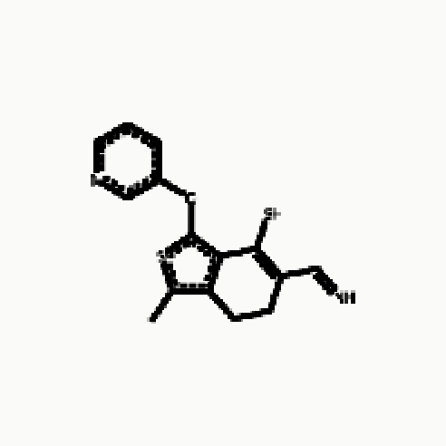 Cc1sc(Oc2cccnc2)c2c1CCC(C=N)=C2S